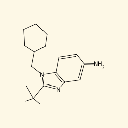 CC(C)(C)c1nc2cc(N)ccc2n1CC1CCCCC1